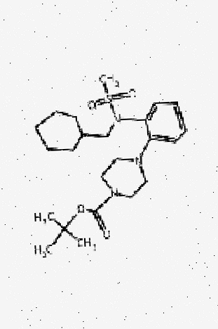 CC(C)(C)OC(=O)N1CCN(c2ccccc2N(CC2CCCCC2)S(C)(=O)=O)CC1